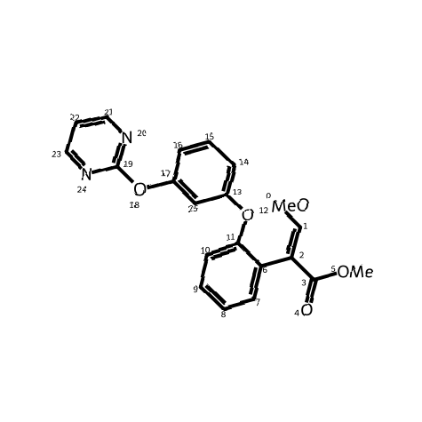 CO/C=C(/C(=O)OC)c1ccccc1Oc1cccc(Oc2ncccn2)c1